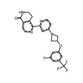 O=C1NCCc2c1ccnc2-c1cc(N2CC(Oc3cc(F)cc(C(F)(F)F)c3)C2)ccn1